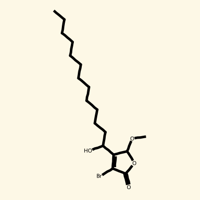 CCCCCCCCCCCCC(O)C1=C(Br)C(=O)OC1OC